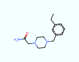 CCc1cccc(CN2CCN(CC(N)=O)CC2)c1